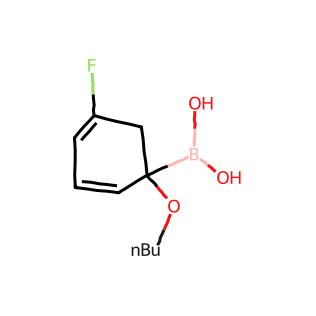 CCCCOC1(B(O)O)C=CC=C(F)C1